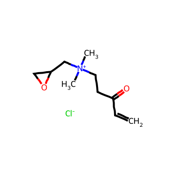 C=CC(=O)CC[N+](C)(C)CC1CO1.[Cl-]